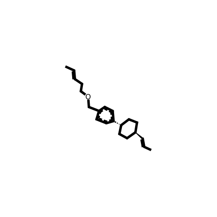 CC=CCCOCc1ccc([C@H]2CC[C@H](C=CC)CC2)cc1